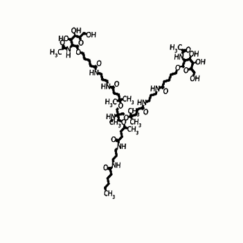 CCCCCC(=O)NCCCNC(=O)CCC(C)OCC(COC(C)(C)CCC(=O)NCCCNC(=O)CCCCOC1OC(CO)[C@H](O)C(O)C1NC(C)=O)(COC(C)(C)CCC(=O)NCCCNC(=O)CCCCO[C@@H]1OC(CO)[C@H](O)C(O)C1NC(C)=O)NC